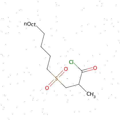 CCCCCCCCCCCCS(=O)(=O)CC(C)C(=O)Cl